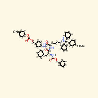 COc1ccc(C(NCCCC[C@H](NC(=O)[C@H](Cc2ccccc2)NC(=O)OCc2ccccc2)C(=O)Nc2ccc(COC(=O)Oc3ccc(N=O)cc3)cc2)(c2ccccc2)c2ccccc2)cc1